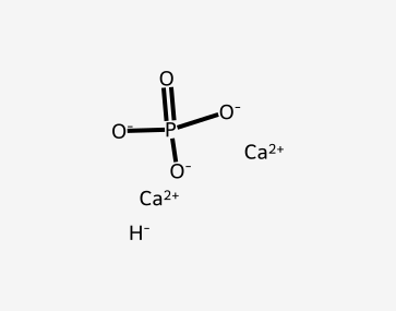 O=P([O-])([O-])[O-].[Ca+2].[Ca+2].[H-]